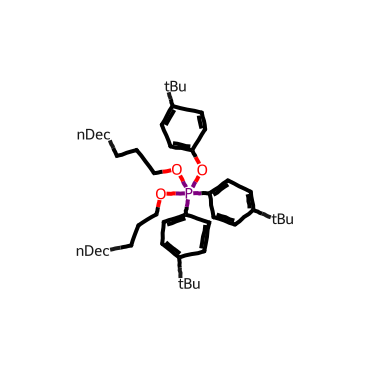 CCCCCCCCCCCCCOP(OCCCCCCCCCCCCC)(Oc1ccc(C(C)(C)C)cc1)(c1ccc(C(C)(C)C)cc1)c1ccc(C(C)(C)C)cc1